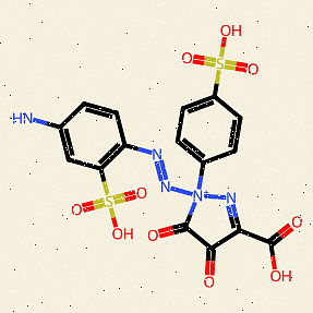 [NH]c1ccc(N=N[N+]2(c3ccc(S(=O)(=O)O)cc3)N=C(C(=O)O)C(=O)C2=O)c(S(=O)(=O)O)c1